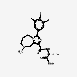 CNC(=O)[C@@H](NC(=O)c1nc(-c2cc(F)c(F)c(F)c2)n2c1CN(C)CCC2)C(C)(C)C